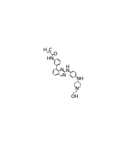 C=CC(=O)Nc1cccc(-c2cccc3cnc(Nc4ccc(NC5CCN(CCO)CC5)cc4)nc23)c1